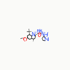 CCOc1cc(C(C)(C)C)c2nc(-c3nnc(Nc4cccnc4)o3)cc(C)c2c1